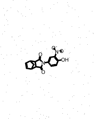 O=C1C2C3C=CC(C3)C2C(=O)N1c1ccc(O)c([N+](=O)[O-])c1